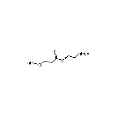 CCCCCCCCOC(=O)CCOCCC